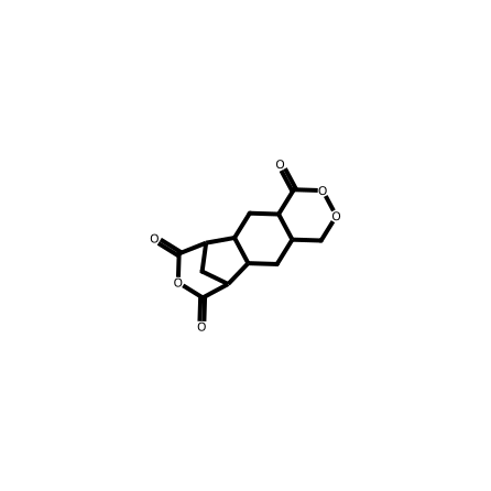 O=C1OOCC2CC3C4CC(C(=O)OC4=O)C3CC12